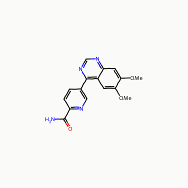 COc1cc2ncnc(-c3ccc(C(N)=O)nc3)c2cc1OC